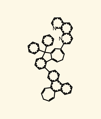 C1=Cc2c(c3cc(-c4cccc5c4C4=CCC=C(c6ccc7ccc8cccnc8c7n6)C=C4C5(c4ccccc4)c4ccccc4)ccc3c3ccccc23)C=CC1